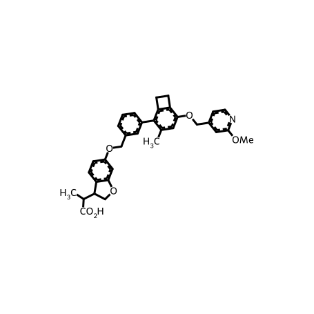 COc1cc(COc2cc(C)c(-c3cccc(COc4ccc5c(c4)OCC5C(C)C(=O)O)c3)c3c2CC3)ccn1